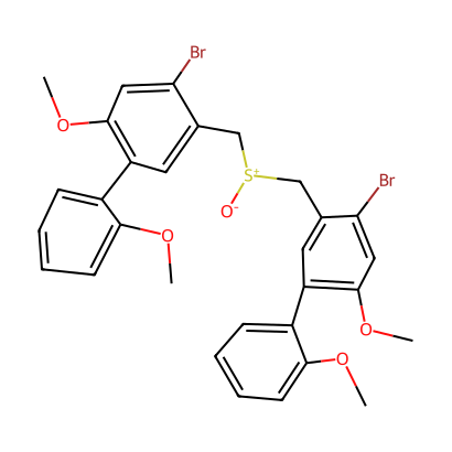 COc1ccccc1-c1cc(C[S+]([O-])Cc2cc(-c3ccccc3OC)c(OC)cc2Br)c(Br)cc1OC